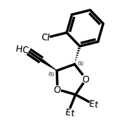 C#C[C@@H]1OC(CC)(CC)O[C@H]1c1ccccc1Cl